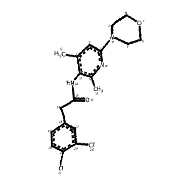 Cc1cc(N2CCOCC2)nc(C)c1NC(=O)Cc1ccc(Cl)c(Cl)c1